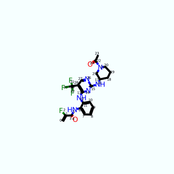 C=C(F)C(=O)Nc1ccccc1Nc1nc(NC2CCCN(C(C)=O)C2)ncc1C(F)(F)F